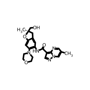 Cc1cnc2c(C(=O)Nc3cc4c(cc3N3CCOCC3)O[C@@](C)(CO)C4)cnn2c1